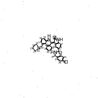 C[C@@H](NC(=O)c1ccc2c(c1)/C(=C(/Nc1cccc(CN3CCCCC3)c1)c1ccccc1)C(=O)N2)c1ccc(Cl)cc1